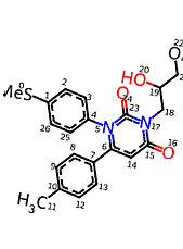 CSc1ccc(-n2c(-c3ccc(C)cc3)cc(=O)n(CC(O)COC(C)=O)c2=O)cc1